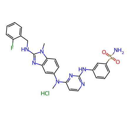 CN(c1ccc2c(c1)nc(NCc1ccccc1F)n2C)c1ccnc(Nc2cccc(S(N)(=O)=O)c2)n1.Cl